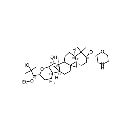 CCO[C@@H](C1C[C@@H](C)[C@H]2C(O1)[C@H](O)[C@@]1(C)C3CC[C@H]4C(C)(C)[C@@H](O[C@H]5CNCCO5)CC[C@@]45CC35CC[C@]21C)C(C)(C)O